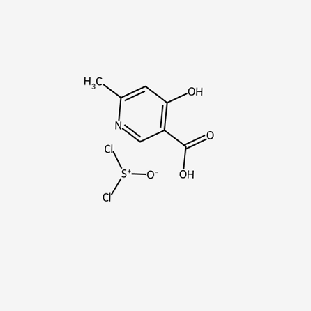 Cc1cc(O)c(C(=O)O)cn1.[O-][S+](Cl)Cl